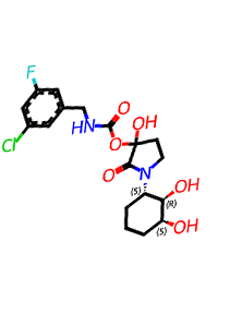 O=C(NCc1cc(F)cc(Cl)c1)OC1(O)CCN([C@H]2CCC[C@H](O)[C@@H]2O)C1=O